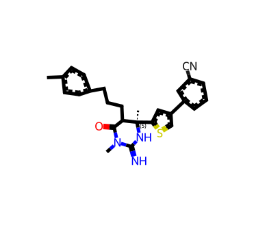 Cc1ccc(CCCC2C(=O)N(C)C(=N)N[C@]2(C)c2cc(-c3cccc(C#N)c3)cs2)cc1